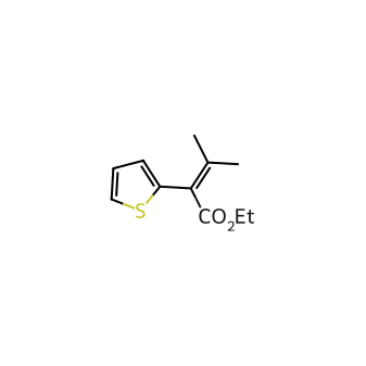 CCOC(=O)C(=C(C)C)c1cccs1